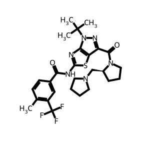 Cc1ccc(C(=O)Nc2nc3c(s2)c(C(=O)N2CCC[C@H]2CN2CCCC2)nn3C(C)(C)C)cc1C(F)(F)F